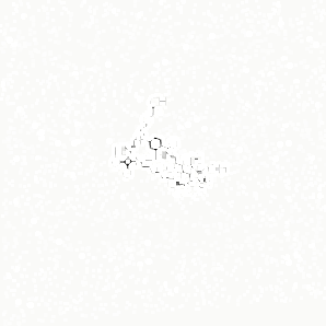 C#CCOCCOCCNc1c(NCCCCCCO[C@]2(C(=O)O)C[C@H](O)[C@@H](NC(=O)CO)[C@H]([C@H](O)[C@H](O)CNC(=O)c3ccc(F)cc3)O2)c(=O)c1=O